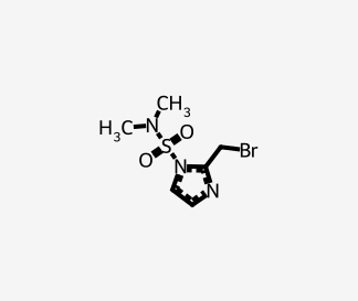 CN(C)S(=O)(=O)n1ccnc1CBr